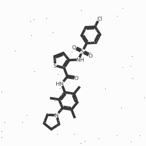 Cc1cc(C)c(N2CCCC2)c(C)c1NC(=O)c1sccc1NS(=O)(=O)c1ccc(Cl)cc1